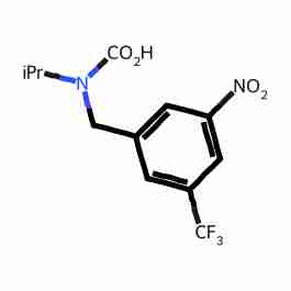 CC(C)N(Cc1cc([N+](=O)[O-])cc(C(F)(F)F)c1)C(=O)O